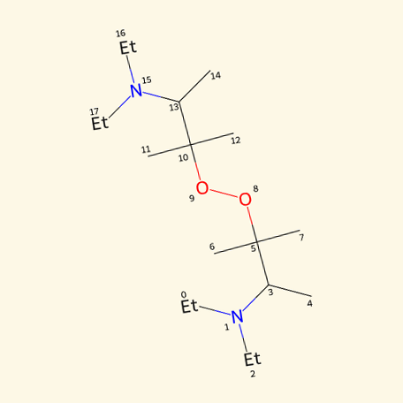 CCN(CC)C(C)C(C)(C)OOC(C)(C)C(C)N(CC)CC